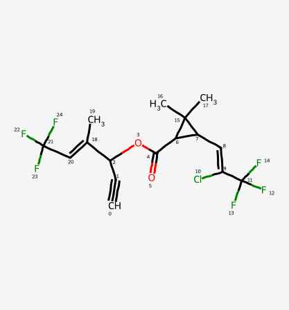 C#CC(OC(=O)C1C(/C=C(\Cl)C(F)(F)F)C1(C)C)/C(C)=C/C(F)(F)F